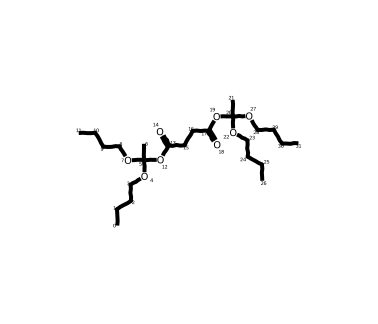 CCCCOC(C)(OCCCC)OC(=O)CCC(=O)OC(C)(OCCCC)OCCCC